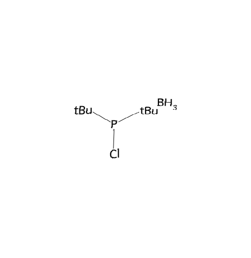 B.CC(C)(C)P(Cl)C(C)(C)C